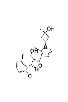 Cc1c(-c2onc(-c3c(F)cccc3Cl)c2CO)cnn1C1CC(C)(O)C1